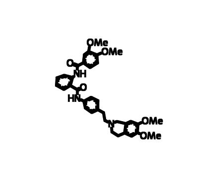 COc1ccc(C(=O)Nc2ccccc2C(=O)Nc2ccc(CCN3CCc4cc(OC)c(OC)cc4C3)cc2)cc1OC